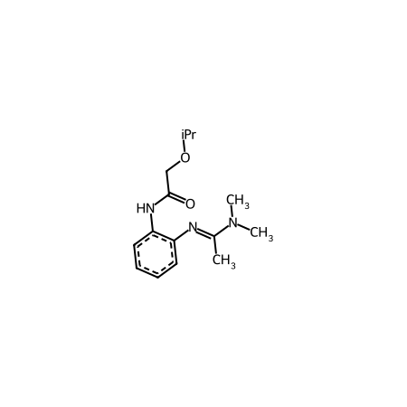 C/C(=N\c1ccccc1NC(=O)COC(C)C)N(C)C